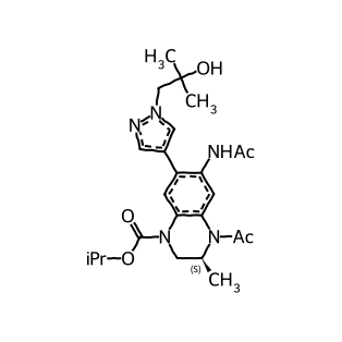 CC(=O)Nc1cc2c(cc1-c1cnn(CC(C)(C)O)c1)N(C(=O)OC(C)C)C[C@H](C)N2C(C)=O